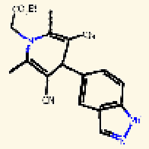 CCOC(=O)CN1C(C)=C(C#N)C(c2ccc3[nH]ncc3c2)C(C#N)=C1C